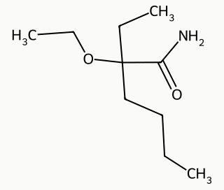 CCCCC(CC)(OCC)C(N)=O